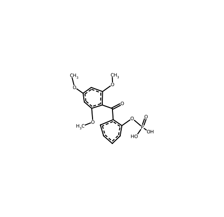 COc1cc(OC)c(C(=O)c2ccccc2OP(=O)(O)O)c(OC)c1